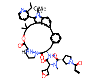 C=CC(=O)N1CC[C@H](C(=O)N(C)[C@H](C(=O)N[C@H]2Cc3cccc(c3)-c3ccc4c(c3)c(c(-c3cccnc3[C@H](C)OC)n4CC)CC(C)(C)COC(=O)[C@@H]3CCCN(N3)C2=O)C2COC2)C1